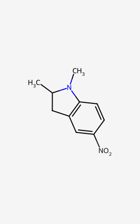 CC1Cc2cc([N+](=O)[O-])ccc2N1C